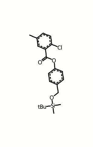 Cc1ccc(Cl)c(C(=O)Oc2ccc(CO[Si](C)(C)C(C)(C)C)cc2)c1